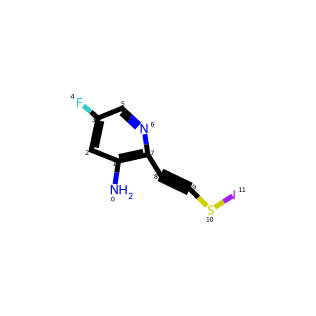 Nc1cc(F)cnc1C#CSI